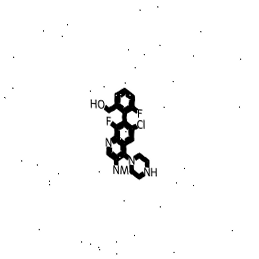 CNc1cnc2c(F)c(-c3c(F)cccc3CO)c(Cl)cc2c1N1CCNCC1